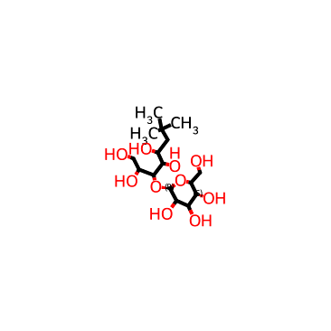 CC(C)(C)CC(O)C(O)C(O[C@H]1OC(CO)[C@@H](O)C(O)C1O)C(O)CO